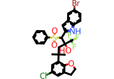 CC(C)(CC(O)(C(c1cc2cc(Br)ccc2[nH]1)S(=O)(=O)c1ccccc1)C(F)(F)F)c1cc(Cl)cc2c1OCC2